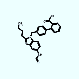 CCCCc1nc2cc(NC=O)ccc2n1Cc1ccc(-c2ccccc2C(=O)O)cc1